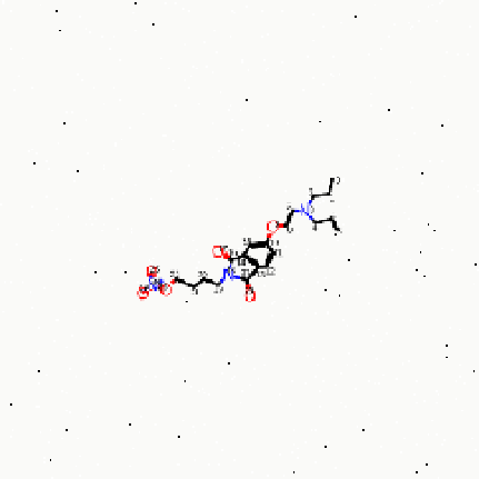 CCCN(CCC)CCOc1ccc2c(c1)C(=O)N(CCCCO[N+](=O)[O-])C2=O